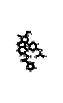 CN1C(=O)C(c2ccc(OC(F)F)cc2)(c2cccc(NC(=O)c3ccco3)c2)N=C1N